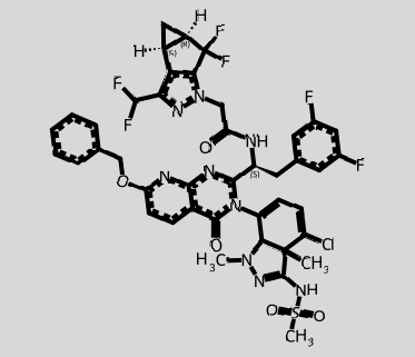 CN1N=C(NS(C)(=O)=O)C2(C)C(Cl)=CC=C(n3c([C@H](Cc4cc(F)cc(F)c4)NC(=O)Cn4nc(C(F)F)c5c4C(F)(F)[C@@H]4C[C@H]54)nc4nc(OCc5ccccc5)ccc4c3=O)C12